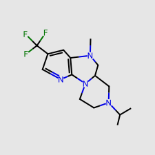 CC(C)N1CCN2c3ncc(C(F)(F)F)cc3N(C)CC2C1